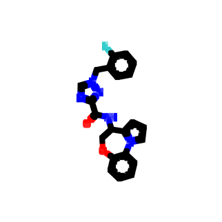 O=C(NC1COc2ccccc2-n2cccc21)c1ncn(Cc2ccccc2F)n1